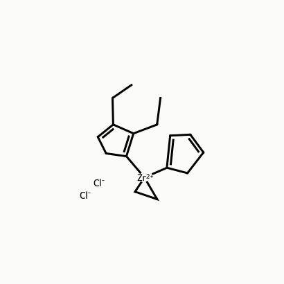 CCC1=CC[C]([Zr+2]2([C]3=CC=CC3)[CH2][CH2]2)=C1CC.[Cl-].[Cl-]